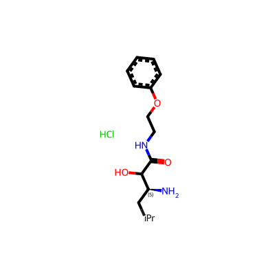 CC(C)C[C@H](N)C(O)C(=O)NCCOc1ccccc1.Cl